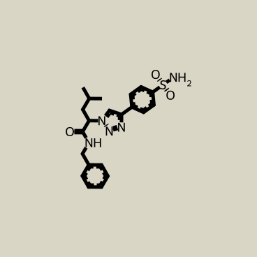 CC(C)CC(C(=O)NCc1ccccc1)n1cc(-c2ccc(S(N)(=O)=O)cc2)nn1